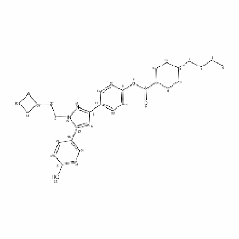 CCCCC1CCC(C(=O)Oc2ccc(-c3cc(-c4ccc(O)cc4)n(CCC4CCC4)n3)cc2)CC1